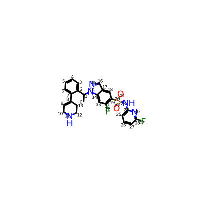 CC(c1ccccc1C1=CCNCC1)n1ncc2cc(S(=O)(=O)Nc3cccc(F)n3)c(F)cc21